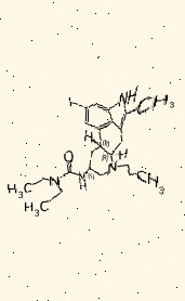 CCCN1C[C@@H](NC(=O)N(CC)CC)C[C@@H]2c3cc(I)cc4[nH]c(C)c(c34)C[C@H]21